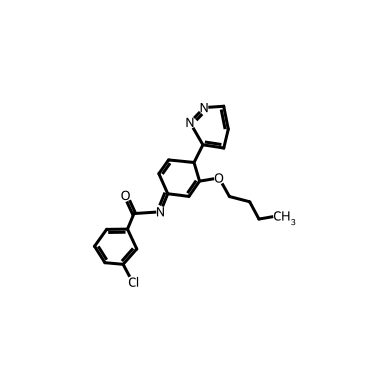 CCCCOC1=C/C(=N/C(=O)c2cccc(Cl)c2)C=CC1c1cccnn1